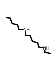 [CH2]CCCCNCCCCCNCC